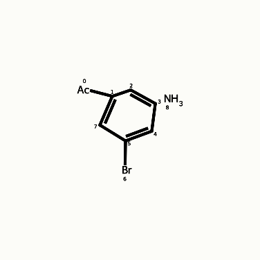 CC(=O)c1cccc(Br)c1.N